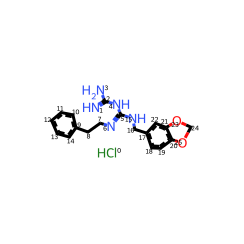 Cl.N=C(N)NC(=NCCc1ccccc1)NCc1ccc2c(c1)OCO2